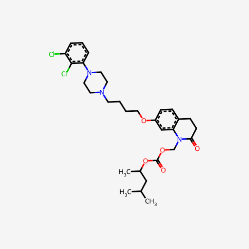 CC(C)CC(C)OC(=O)OCN1C(=O)CCc2ccc(OCCCCN3CCN(c4cccc(Cl)c4Cl)CC3)cc21